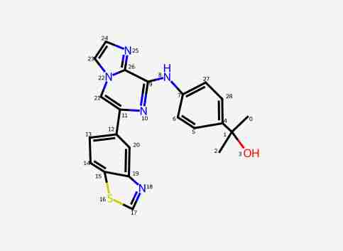 CC(C)(O)c1ccc(Nc2nc(-c3ccc4scnc4c3)cn3ccnc23)cc1